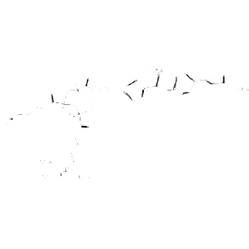 CCC(C)(CC(C)(CC(C)(C)C(=O)OCCC[Si](OC)(OC)OC)C(=O)OCCN=C=O)C(=O)OCOc1ccc(C(=O)Oc2ccc(/C=C/C(=O)OC)cc2OC)cc1